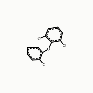 [O]c1cccc(Cl)c1Oc1ccccc1Cl